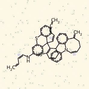 C=C=C/C=C\C1(C2=C(S)C=CCC2c2cccc3c2N(c2ccccc2)/C=C\CCC3=C)c2ccccc2Sc2cc(N/C=C\C=C)ccc21